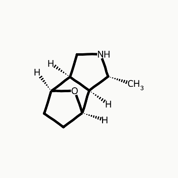 C[C@H]1NC[C@H]2[C@@H]1[C@H]1CC[C@@H]2O1